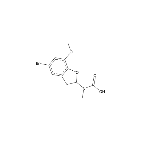 COc1cc(Br)cc2c1OC(N(C)C(=O)O)C2